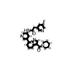 O=C(Cc1cncc(F)c1)Nc1cncc(-c2cccc3c(C(=O)N4CCCCC4)cnn23)c1